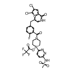 CS(=O)(=O)Nc1ccc([N+]2(OC(=O)C(F)(F)F)CCN(C(=O)c3cc(Cc4c[nH]c(=O)c5cc(Cl)c(Cl)n45)ccc3F)CC2)nn1